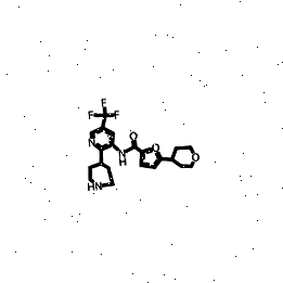 O=C(Nc1cc(C(F)(F)F)cnc1C1CCNCC1)c1ccc(C2CCOCC2)o1